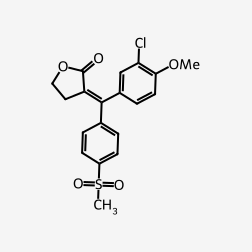 COc1ccc(C(=C2CCOC2=O)c2ccc(S(C)(=O)=O)cc2)cc1Cl